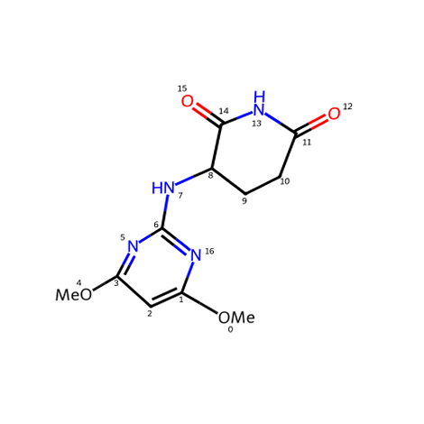 COc1cc(OC)nc(NC2CCC(=O)NC2=O)n1